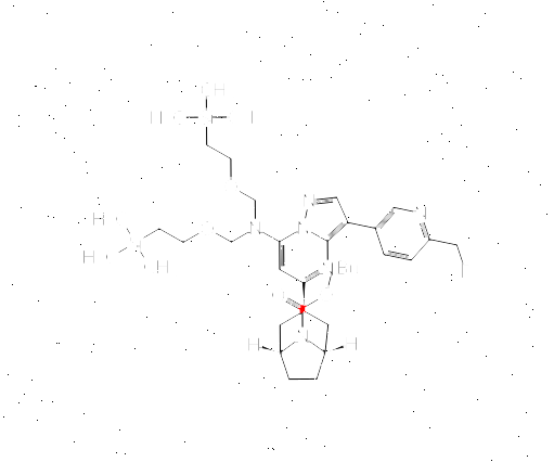 CC(C)(C)OC(=O)N1[C@@H]2CC[C@H]1C[C@H](c1cc(N(COCC[Si](C)(C)C)COCC[Si](C)(C)C)n3ncc(-c4ccc(CF)nc4)c3n1)C2